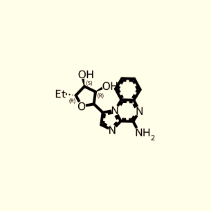 CC[C@H]1OC(c2cnc3c(N)nc4ccccc4n23)[C@H](O)[C@@H]1O